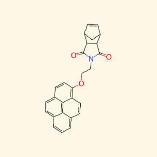 O=C1C2C3C=CC(C3)C2C(=O)N1CCOc1ccc2ccc3cccc4ccc1c2c34